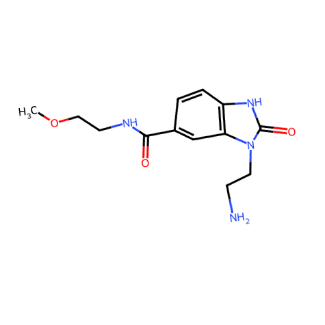 COCCNC(=O)c1ccc2[nH]c(=O)n(CCN)c2c1